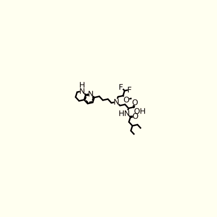 CCC(CC)CC(=O)NC(CCN(CCCCc1ccc2c(n1)NCCC2)CC(OC)C(F)F)C(=O)O